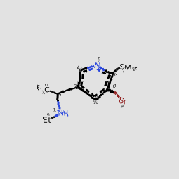 CCNC(c1cnc(SC)c(Br)c1)C(F)(F)F